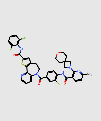 Cc1ccc(C(=O)Nc2ccc(C(=O)N3CCc4cc(C(=O)Nc5c(F)cccc5F)sc4-c4ncccc43)cc2F)c(N2CC3(CCOCC3)C2)n1